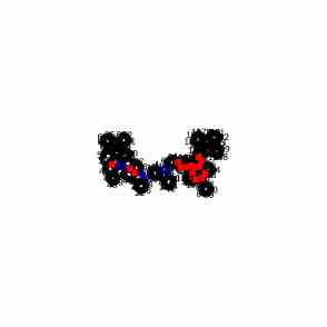 CC1(Cc2cccc(-n3c4ccccc4c4cc(N(c5ccccc5)c5ccc(-c6ccc7c(c6N(c6ccccc6)c6cccc8ccccc68)-c6ccccc6C76c7ccccc7-c7ccccc76)cc5)ccc43)c2)c2ccccc2-c2c(N(c3ccccc3)c3cccc(-c4c(N(c5ccccc5)c5ccccc5)ccc5c4-c4ccccc4C54c5ccccc5-c5ccccc54)c3)cccc21